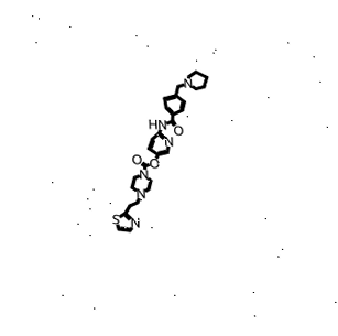 O=C(Nc1ccc(OC(=O)N2CCN(CCc3nccs3)CC2)cn1)c1ccc(CN2CCCCC2)cc1